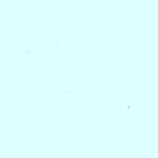 CCC(=O)CC1Oc2ccc(Br)cc2C(=O)C1C